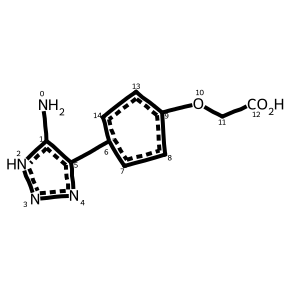 Nc1[nH]nnc1-c1ccc(OCC(=O)O)cc1